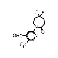 O=Cc1cc(N2CCC(F)(F)CCC2=O)ncc1C(F)(F)F